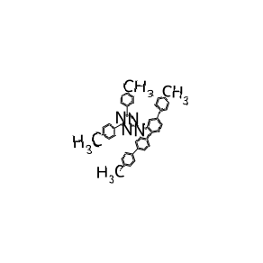 Cc1ccc(-c2ccc3c4ccc(-c5ccc(C)cc5)cc4n(-c4nc(-c5ccc(C)cc5)nc(-c5ccc(C)cc5)n4)c3c2)cc1